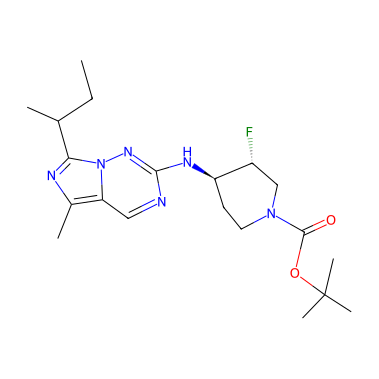 CCC(C)c1nc(C)c2cnc(N[C@@H]3CCN(C(=O)OC(C)(C)C)C[C@H]3F)nn12